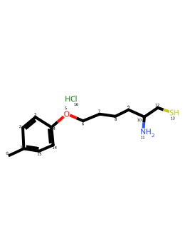 Cc1ccc(OCCCCC(N)CS)cc1.Cl